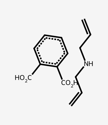 C=CCNCC=C.O=C(O)c1ccccc1C(=O)O